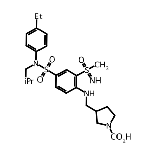 CCc1ccc(N(CC(C)C)S(=O)(=O)c2ccc(NCC3CCN(C(=O)O)C3)c(S(C)(=N)=O)c2)cc1